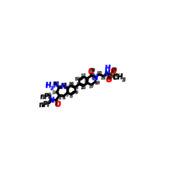 CCCN(CCC)C(=O)C1=Cc2ccc(-c3ccc4c(c3)CCN(CCNS(C)(=O)=O)C4=O)cc2N=C(N)C1